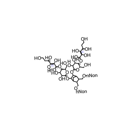 CCCCCCCCCOCC1C(COCCCCCCCCC)C2CC1C(O[C@@H]1OC(CO)[C@@H](O[C@@H](O)/C(O)=C(\O)[C@H](O)CCO)C(O)C1O)C2O[C@@H]1OC(CO)[C@@H](O[C@@H](O)/C(O)=C(\O)[C@H](O)CCO)C(O)C1O